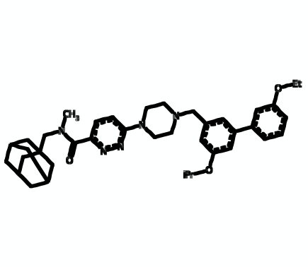 CCOc1cccc(-c2cc(CN3CCN(c4ccc(C(=O)N(C)CC56CC7CC(CC(C7)C5)C6)nn4)CC3)cc(OC(C)C)c2)c1